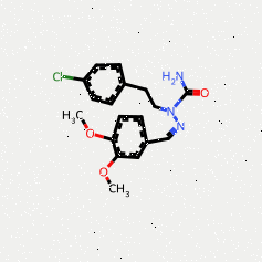 COc1ccc(/C=N\N(CCc2ccc(Cl)cc2)C(N)=O)cc1OC